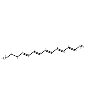 [CH2]CCC=CC=CC=CC=CC=CC